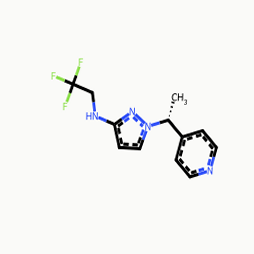 C[C@H](c1ccncc1)n1ccc(NCC(F)(F)F)n1